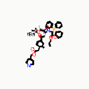 C=CCOC(=O)C(N1C(=O)[C@H]([C@@H](C)O[Si](C)(C)C(C)(C)C)[C@H]1CC(=O)c1ccc(CC(=O)OCc2ccncc2)c(C)c1)=P(c1ccccc1)(c1ccccc1)c1ccccc1